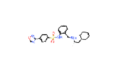 C[C@@H](CC1CCCCC1)NCc1ccccc1NS(=O)(=O)c1ccc(-c2ncon2)cc1